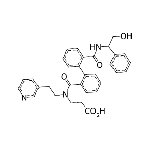 O=C(O)CCN(CCc1cccnc1)C(=O)c1ccccc1-c1ccccc1C(=O)NC(CO)c1ccccc1